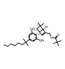 CCCCCCC(C)(C)c1cc(O)c([C@@]23C=C(COC(=O)C(C)(C)C)[C@@H]2C(C)(C)[C@H]3C)c(O)c1